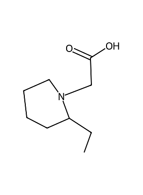 CCC1CCCCN1CC(=O)O